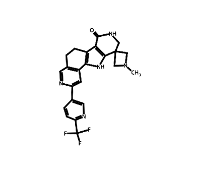 CN1CC2(CNC(=O)c3c2[nH]c2c3CCc3cnc(-c4ccc(C(F)(F)F)nc4)cc3-2)C1